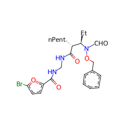 CCCCC[C@@H](C(=O)NCNC(=O)c1ccc(Br)o1)[C@@H](CC)N(C=O)OCc1ccccc1